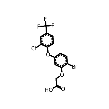 O=C(O)COc1cc(Oc2ccc(C(F)(F)F)cc2Cl)ccc1Br